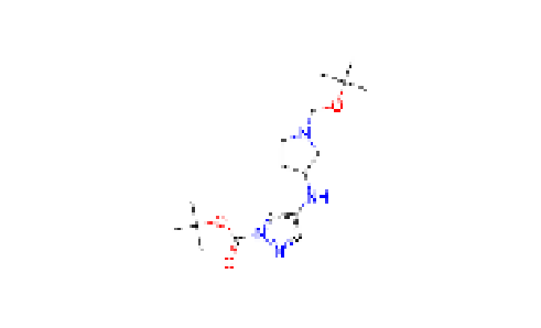 CC(C)(C)OCN1CCC(Nc2cnn(C(=O)OC(C)(C)C)c2)C1